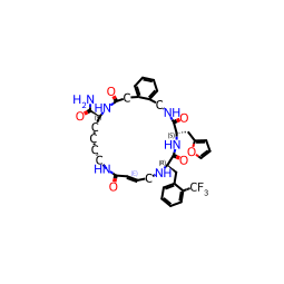 NC(=O)[C@@H]1CCCCNC(=O)/C=C/CN[C@H](Cc2ccccc2C(F)(F)F)C(=O)N[C@@H](Cc2ccco2)C(=O)NCc2ccccc2CC(=O)N1